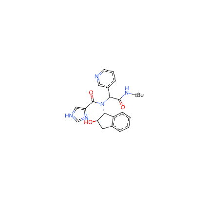 CC(C)(C)NC(=O)C(c1cccnc1)N(C(=O)c1c[nH]cn1)[C@@H]1c2ccccc2C[C@H]1O